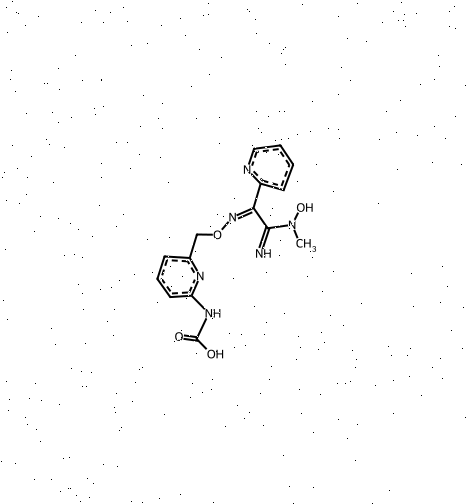 CN(O)C(=N)C(=NOCc1cccc(NC(=O)O)n1)c1ccccn1